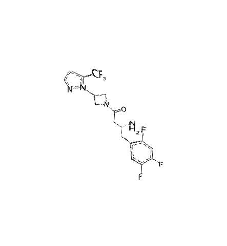 N[C@@H](CC(=O)N1CC(n2nccc2C(F)(F)F)C1)Cc1cc(F)c(F)cc1F